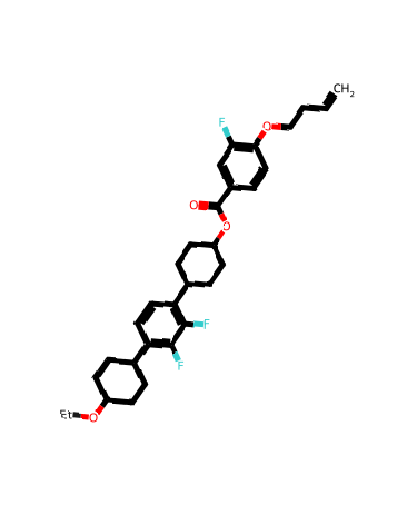 C=CCCOc1ccc(C(=O)OC2CCC(c3ccc(C4CCC(OCC)CC4)c(F)c3F)CC2)cc1F